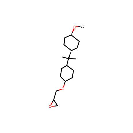 CCO[C@H]1CC[C@@H](C(C)(C)C2CCC(OCC3CO3)CC2)CC1